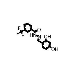 O=C(NN=Cc1ccc(O)cc1O)c1cccc(C(F)(F)F)c1